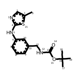 Cc1cnc(Nc2cccc(CNC(=O)OC(C)(C)C)c2)s1